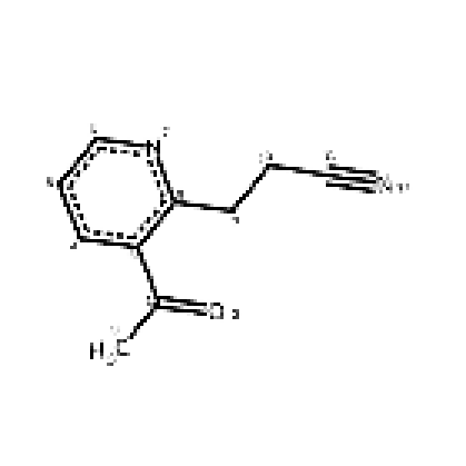 CC(=O)c1cccnc1CCC#N